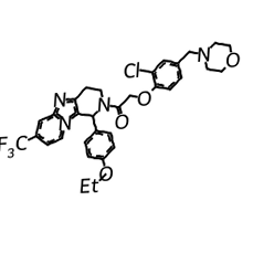 CCOc1ccc(C2c3c(nc4cc(C(F)(F)F)ccn34)CCN2C(=O)COc2ccc(CN3CCOCC3)cc2Cl)cc1